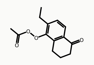 CCc1ccc2c(c1OOC(C)=O)CCCC2=O